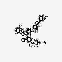 CCCN1CCN(C(=O)c2ccc(Oc3nc(Nc4ccc(OCC5CCCN(C)C5)c(F)c4)ncc3C(=O)Nc3c(C)cccc3C)c(Cl)c2)CC1